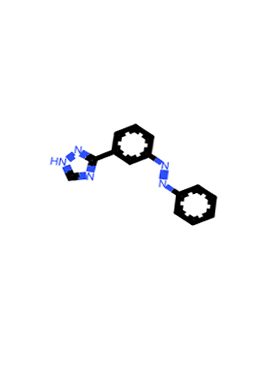 c1ccc(/N=N/c2cccc(-c3nc[nH]n3)c2)cc1